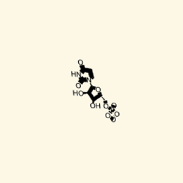 O=c1ccn([C@@H]2O[C@H](COP3(=O)OOO3)[C@@H](O)[C@H]2O)c(=O)[nH]1